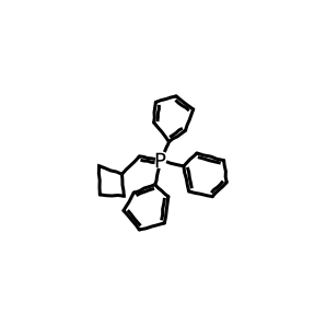 C(C1CCC1)=P(c1ccccc1)(c1ccccc1)c1ccccc1